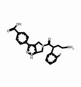 NCCC(C(=O)N1Cc2[nH]nc(-c3ccc(C(=O)O)cc3)c2C1)c1ccccc1F